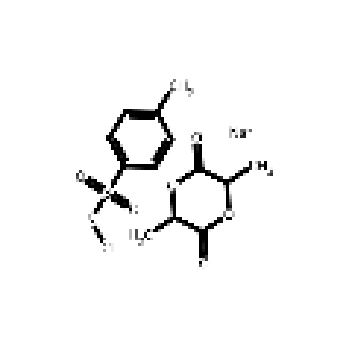 CC1OC(=O)C(C)OC1=O.Cc1ccc(S(=O)(=O)[N-]Cl)cc1.[Na+]